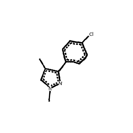 Cc1cn(C)nc1-c1ccc(Cl)cc1